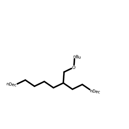 CCCCCCCCCCCCCCC(CCCCCCCCCCCC)COCCCC